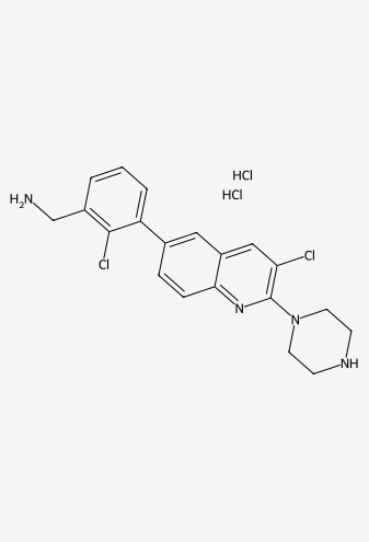 Cl.Cl.NCc1cccc(-c2ccc3nc(N4CCNCC4)c(Cl)cc3c2)c1Cl